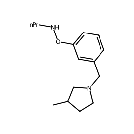 CCCNOc1cccc(CN2CCC(C)C2)c1